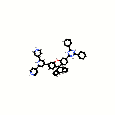 c1ccc(-c2nc(-c3ccccc3)nc(-c3ccc4c(c3)Oc3cc(-c5cc(-c6ccncc6)nc(-c6ccncc6)c5)ccc3C43c4ccccc4-c4ccccc43)n2)cc1